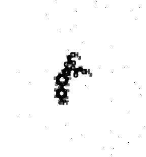 C=CC(=O)OCCC1(CCOC(=O)C=C)CCCC(C2CCC(CCC)CC2)CC1